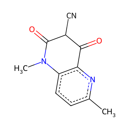 Cc1ccc2c(n1)C(=O)C(C#N)C(=O)N2C